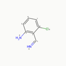 N=Cc1c(N)cccc1Cl